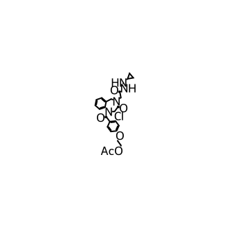 CC(=O)OCCOc1ccc(C(=O)N2CC(=O)N(CC(=O)NNC3CC3)Cc3ccccc32)c(Cl)c1